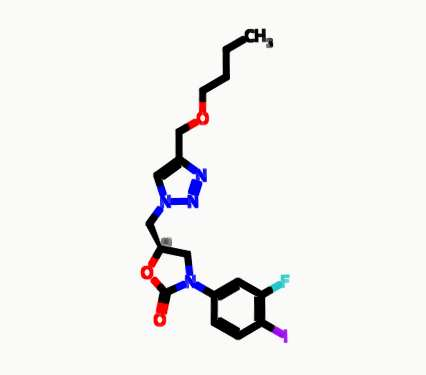 CCCCOCc1cn(C[C@H]2CN(c3ccc(I)c(F)c3)C(=O)O2)nn1